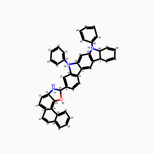 C1=CC2c3cc4c5ccc(C6Nc7ccc8ccc9ccccc9c8c7O6)cc5n(-c5ccccc5)c4cc3N(c3ccccc3)C2C=C1